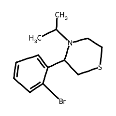 CC(C)N1CCSCC1c1ccccc1Br